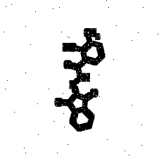 Cc1cccc(C(=O)NN=c2c(=O)c3ccccc3c2=O)c1O